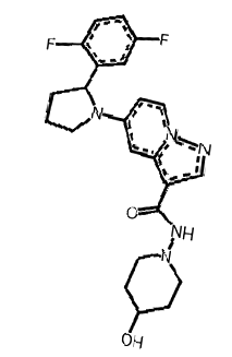 O=C(NN1CCC(O)CC1)c1cnn2ccc(N3CCCC3c3cc(F)ccc3F)cc12